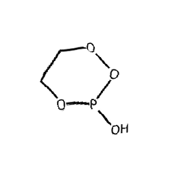 OP1OCCOO1